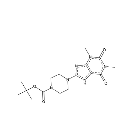 Cn1c(=O)c2[nH]c(N3CCN(C(=O)OC(C)(C)C)CC3)nc2n(C)c1=O